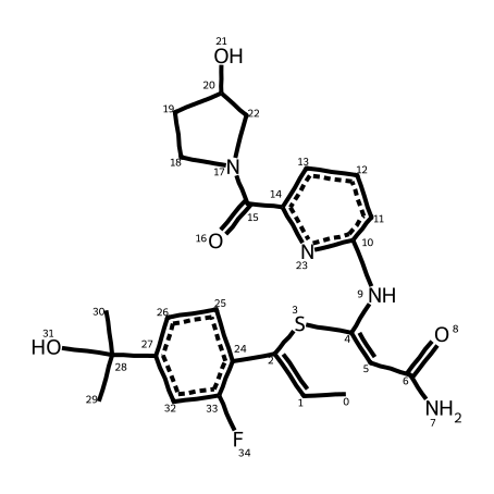 C/C=C(\S/C(=C/C(N)=O)Nc1cccc(C(=O)N2CCC(O)C2)n1)c1ccc(C(C)(C)O)cc1F